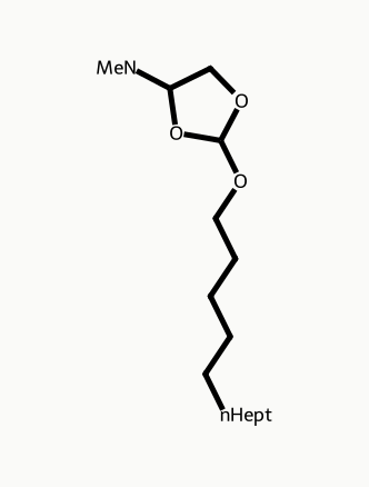 CCCCCCCCCCCCOC1OCC(NC)O1